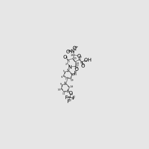 O=C1CN(c2ccc(-c3cccc(OC(F)(F)F)c3)cc2F)C(=O)C2=C1C([N+](=O)[O-])OC2C(=O)O